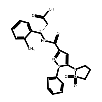 Cc1ccccc1[C@H](CC(=O)O)NC(=O)c1cc(N2CCCS2(=O)=O)n(-c2ccccc2)n1